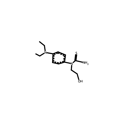 CCN(CC)c1ccc(N(CCO)C(N)=S)cc1